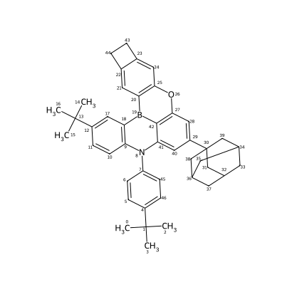 CC(C)(C)c1ccc(N2c3ccc(C(C)(C)C)cc3B3c4cc5c(cc4Oc4cc(C67CC8CC(CC(C8)C6)C7)cc2c43)CC5)cc1